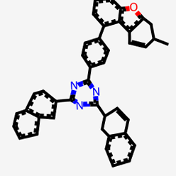 CC1C=Cc2c(oc3cccc(-c4ccc(-c5nc(-c6ccc7ccccc7c6)nc(C6C=Cc7ccccc7C6)n5)cc4)c23)C1